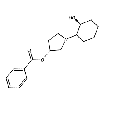 O=C(O[C@@H]1CCN(C2CCCC[C@@H]2O)C1)c1ccccc1